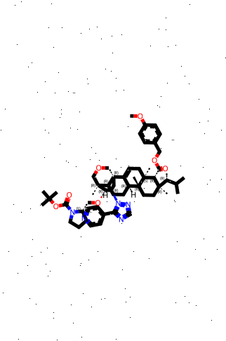 COc1ccc(COC(=O)[C@@H]2[C@@](C)([C@H](C)C(C)C)CC[C@]3(C)[C@H]4CC[C@@H]5[C@@]6(COC[C@]5(C)[C@@H](OC[C@@H]5CCCN5C(=O)OC(C)(C)C)[C@H](n5ncnc5-c5ccncc5)C6)C4=CC[C@@]23C)cc1